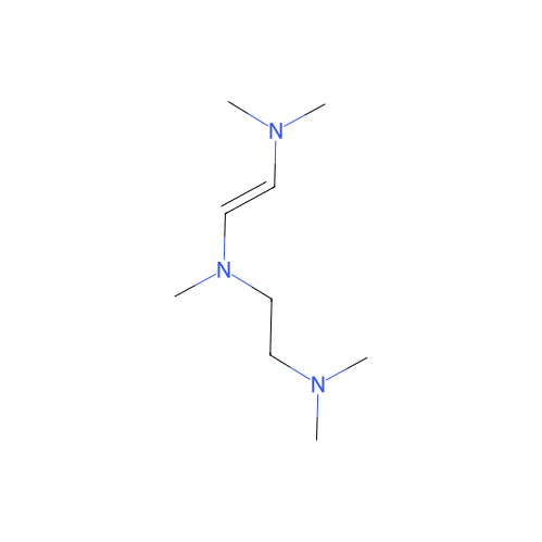 CN(C)C=CN(C)CCN(C)C